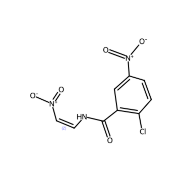 O=C(N/C=C\[N+](=O)[O-])c1cc([N+](=O)[O-])ccc1Cl